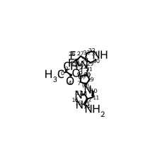 CC(C)C(=O)O[C@H]1C[C@H](n2ccc3c(N)ncnc32)C[C@@H]1CN1CC(F)(F)CC12CCNCC2